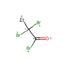 CCC(Br)(Br)C(=O)Br